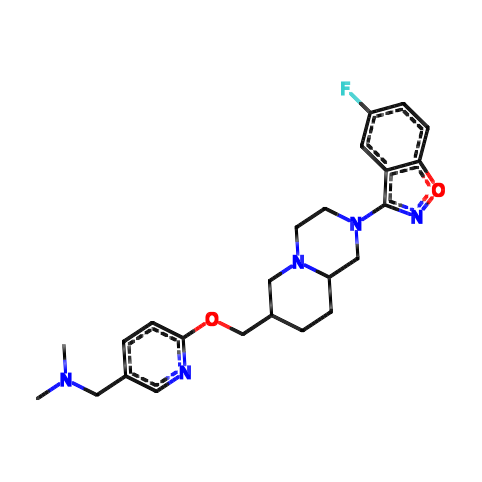 CN(C)Cc1ccc(OCC2CCC3CN(c4noc5ccc(F)cc45)CCN3C2)nc1